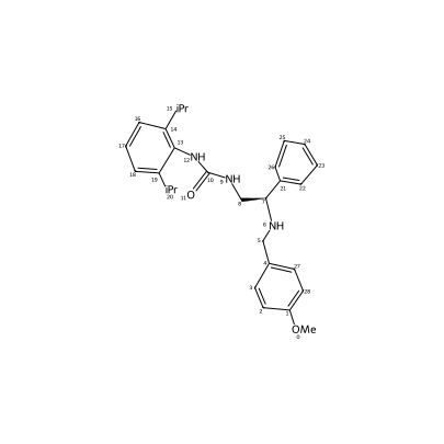 COc1ccc(CN[C@@H](CNC(=O)Nc2c(C(C)C)cccc2C(C)C)c2ccccc2)cc1